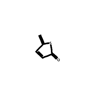 C=C1C=CC(=O)S1